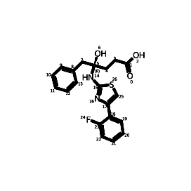 O=C(O)CC[C@@](O)(Cc1ccccc1)Nc1nc(-c2ccccc2F)cs1